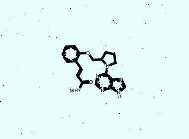 CNC(=O)C=Cc1ccccc1OCC1CCCN1c1ncnc2[nH]cnc12